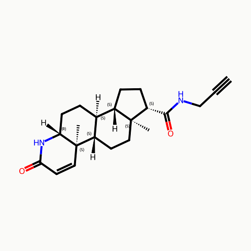 C#CCNC(=O)[C@H]1CC[C@H]2[C@@H]3CC[C@H]4NC(=O)C=C[C@]4(C)[C@H]3CC[C@]12C